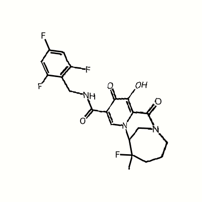 CC1(F)CCCN2CC1n1cc(C(=O)NCc3c(F)cc(F)cc3F)c(=O)c(O)c1C2=O